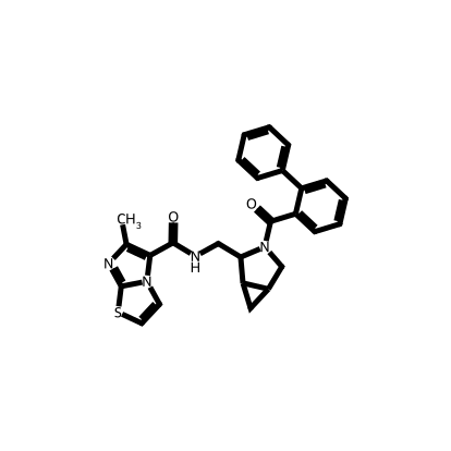 Cc1nc2sccn2c1C(=O)NCC1C2CC2CN1C(=O)c1ccccc1-c1ccccc1